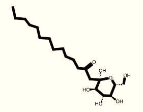 CCCCCCCCCCCCC(=O)C[C@@]1(O)O[C@H](CO)[C@@H](O)[C@H](O)[C@H]1O